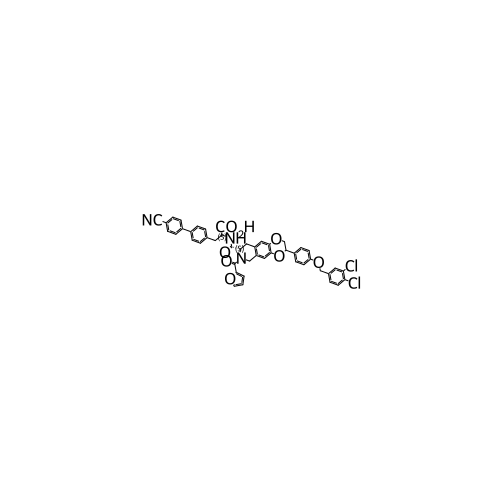 N#Cc1ccc(-c2ccc(C[C@H](NC(=O)[C@@H]3Cc4cc5c(cc4CN3C(=O)c3ccco3)OC(c3ccc(OCc4ccc(Cl)c(Cl)c4)cc3)CO5)C(=O)O)cc2)cc1